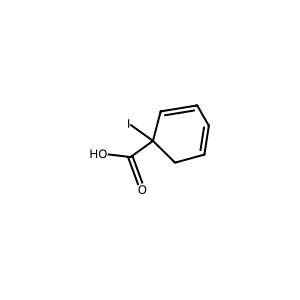 O=C(O)C1(I)C=CC=CC1